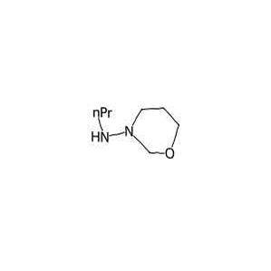 CCCNN1CCCOC1